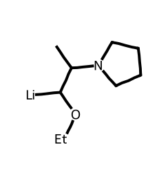 [Li][CH](OCC)C(C)N1CCCC1